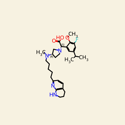 COc1c(F)cc(C(C)C)cc1[C@@H](C(=O)O)N1CC[C@@H](N(C)CCCCCc2ccc3c(n2)NCCC3)C1